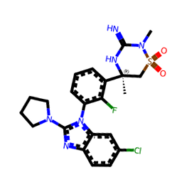 CN1C(=N)N[C@](C)(c2cccc(-n3c(N4CCCC4)nc4ccc(Cl)cc43)c2F)CS1(=O)=O